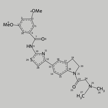 COc1cc(OC)cc(C(=O)Nc2nc(-c3ccc4c(c3)CCN4C(=O)CN(C)C)cs2)c1